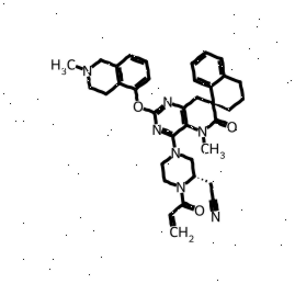 C=CC(=O)N1CCN(c2nc(Oc3cccc4c3CCN(C)C4)nc3c2N(C)C(=O)[C@]2(CCCc4ccccc42)C3)C[C@@H]1CC#N